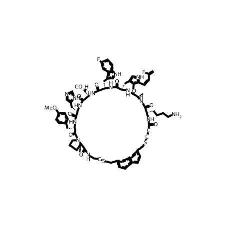 C=C(F)/C=C\c1[nH]cc(C[C@@H]2NC(=O)[C@@H](C)NC(=O)[C@H](CCCCN)NC(=O)CCSCc3ccc4ccc(cc4c3)CSCCNC(=O)[C@]3(C)CCCN3C(=O)[C@H](Cc3ccc(OC)cc3)NC(=O)[C@H](Cc3cnc[nH]3)NC(=O)[C@H](CC(=O)O)NC(=O)[C@H](Cc3c[nH]c4ccc(F)cc34)NC2=O)c1C